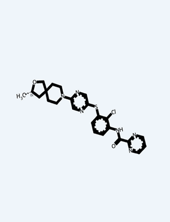 C[C@H]1CC2(CCN(c3cnc(Sc4cccc(NC(=O)c5ncccn5)c4Cl)cn3)CC2)CO1